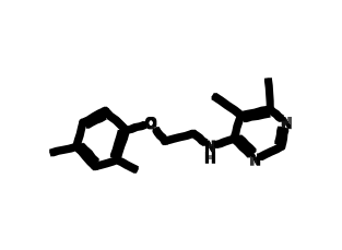 Cc1ccc(OCCNc2ncnc(C)c2C)c(C)c1